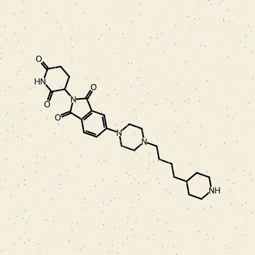 O=C1CCC(N2C(=O)c3ccc(N4CCN(CCCCC5CCNCC5)CC4)cc3C2=O)C(=O)N1